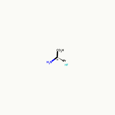 CC(C)[C@H](N)C(=O)O.F